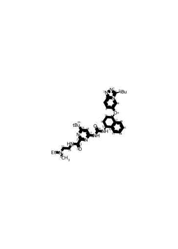 CC[C@H](C)c1nnc2ccc(O[C@@H]3CC[C@H](NC(=O)Nc4cc(C(C)(C)C)nc(C(=O)NCCN(C)CC)n4)c4ccccc43)cn12